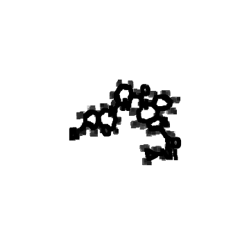 O=C(c1cccc(N2CCOc3cc(Br)ccc3C2)n1)N1CCc2cc(C3OC3NC3CC3)sc2-c2ccccc21